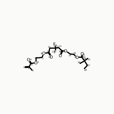 C=C(C)C(=O)OCCOC(=O)CC(F)(F)CC(=O)OCCOC(=O)C(C)(C)CC